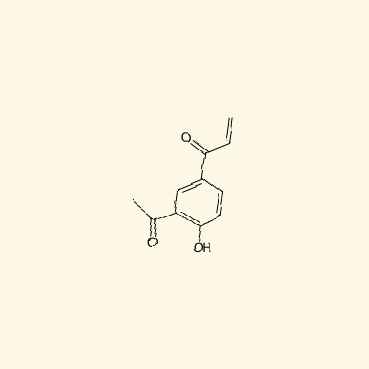 C=CC(=O)c1ccc(O)c(C(C)=O)c1